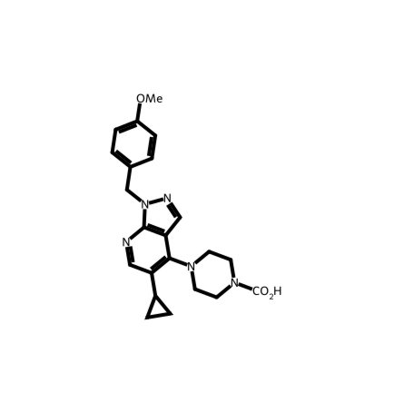 COc1ccc(Cn2ncc3c(N4CCN(C(=O)O)CC4)c(C4CC4)cnc32)cc1